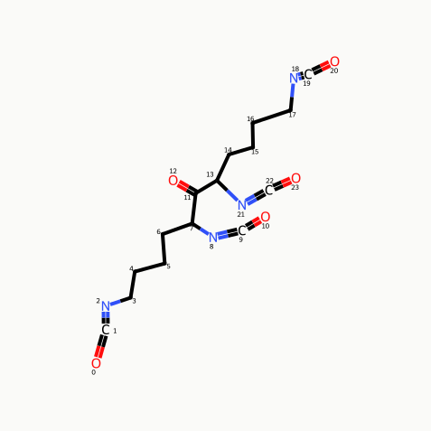 O=C=NCCCCC(N=C=O)C(=O)C(CCCCN=C=O)N=C=O